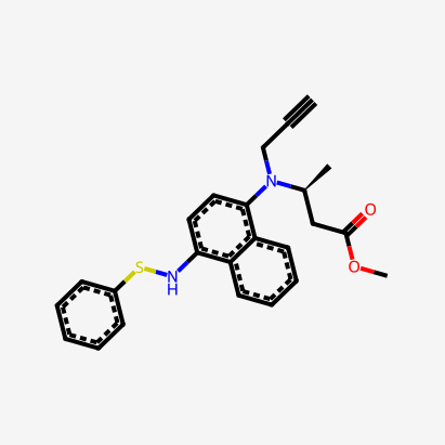 C#CCN(c1ccc(NSc2ccccc2)c2ccccc12)[C@@H](C)CC(=O)OC